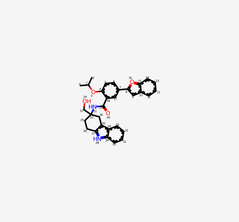 CC(C)Oc1ccc(-c2cc3ccccc3o2)cc1C(=O)NC1(CO)CCc2[nH]c3ccccc3c2C1